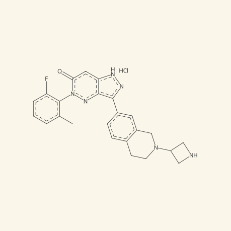 Cc1cccc(F)c1-n1nc2c(-c3ccc4c(c3)CN(C3CNC3)CC4)n[nH]c2cc1=O.Cl